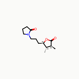 C[C@H]1[C@H](C)C(=O)O[C@@H]1CCCN1CCCC1=O